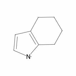 C1=CC2=C(CCCC2)[N]1